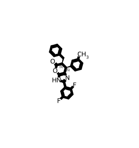 Cc1cccc([C@H]2c3nc(-c4cc(F)ccc4F)[nH]c3OC(=O)[C@H]2Cc2ccccc2)c1